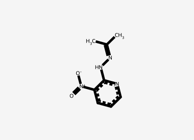 CC(C)=NNc1ncccc1[N+](=O)[O-]